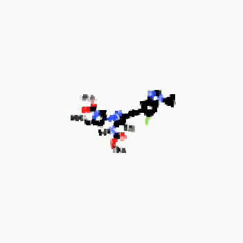 CCN(C(=O)OC(C)(C)C)c1c(C#N)c(C#Cc2cc3ncn(C4CC4)c3cc2F)nn1[C@H]1C[C@H](COC)N(C(=O)OC(C)(C)C)C1